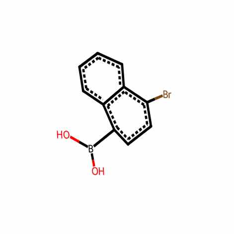 OB(O)c1ccc(Br)c2ccccc12